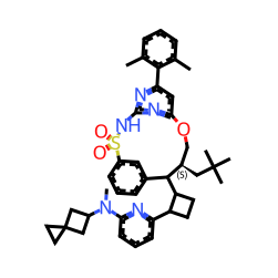 Cc1cccc(C)c1-c1cc2nc(n1)NS(=O)(=O)c1cccc(c1)C(C1CCC1c1cccc(N(C)C3CC4(CC4)C3)n1)[C@H](CC(C)(C)C)CO2